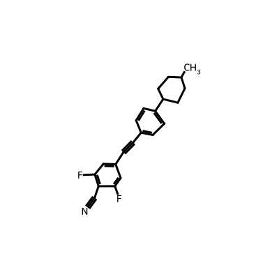 CC1CCC(c2ccc(C#Cc3cc(F)c(C#N)c(F)c3)cc2)CC1